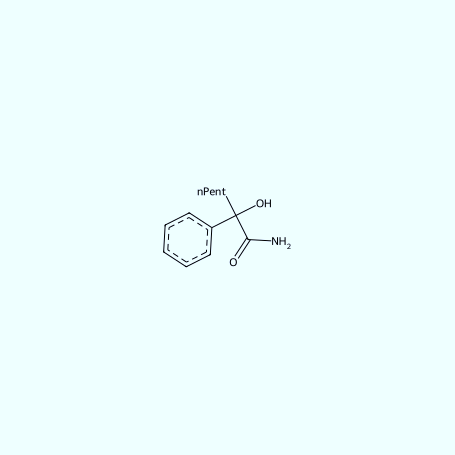 CCCCCC(O)(C(N)=O)c1ccccc1